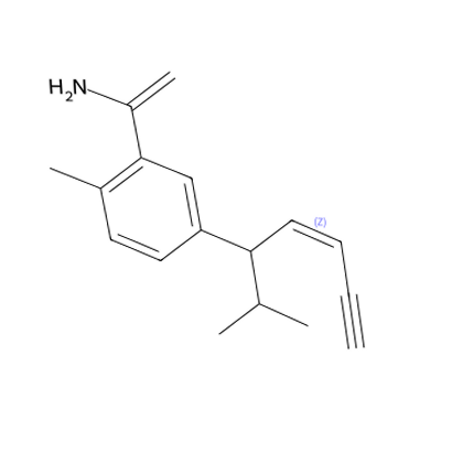 C#C/C=C\C(c1ccc(C)c(C(=C)N)c1)C(C)C